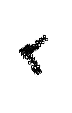 CO.CO.CO.CO.CO.CO.CO.CO.CO.CO.ClC(Cl)Cl.ClC(Cl)Cl.ClC(Cl)Cl.ClC(Cl)Cl.ClC(Cl)Cl.O.O.O.O